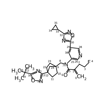 C=C(CCF)C(=O)N(CC12CCC(c3noc(C(C)(C)C)n3)(CC1)C2)c1cncc(-c2nc(C3CC3)no2)c1